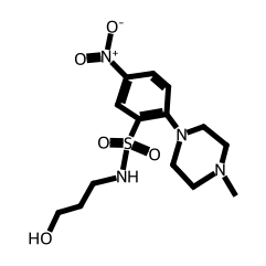 CN1CCN(c2ccc([N+](=O)[O-])cc2S(=O)(=O)NCCCO)CC1